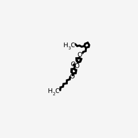 C=CCCCCCCCOc1ccc(C(=O)Oc2ccc(OCCCC3CCCCC3CCCCC)cc2)cc1